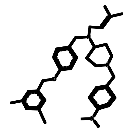 CC(C)=CCN(Cc1ccc(OCc2cc(C)cc(C)c2)cc1)C1CCN(Cc2ccc(N(C)C)cc2)CC1